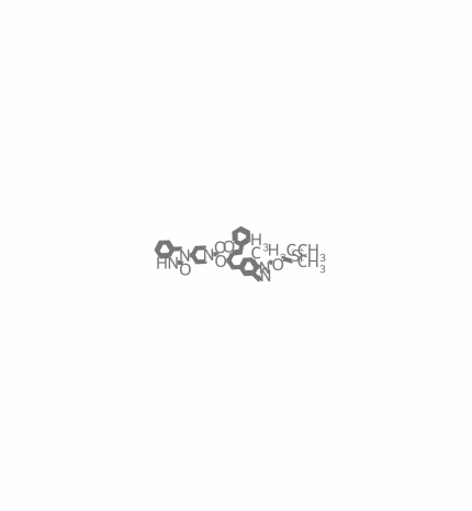 Cc1cc(CC(OC(=O)N2CCC(N3Cc4ccccc4NC3=O)CC2)c2cc3ccccc3o2)cc2cnn(COCC[Si](C)(C)C)c12